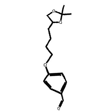 CC1(C)OCC(CCCCOc2ccc(C=O)cc2)O1